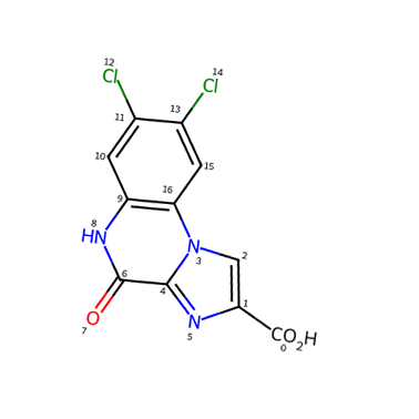 O=C(O)c1cn2c(n1)c(=O)[nH]c1cc(Cl)c(Cl)cc12